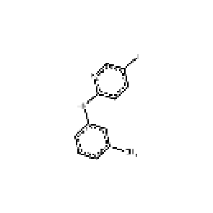 Cc1cccc(Nc2ccc(I)cn2)c1